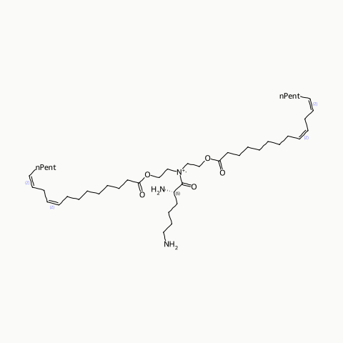 CCCCC/C=C\C/C=C\CCCCCCCC(=O)OCC[N+](CCOC(=O)CCCCCCC/C=C\C/C=C\CCCCC)C(=O)[C@@H](N)CCCCN